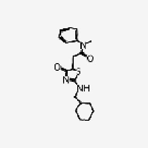 CN(C(=O)CC1SC(NCC2CCCCC2)=NC1=O)c1ccccc1